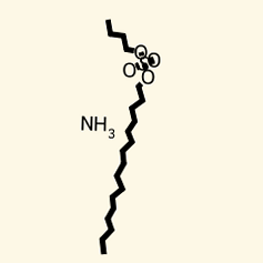 CCCCCCCCCCCCCCCCOS(=O)(=O)OCCCC.N